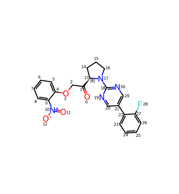 O=C(COc1ccccc1[N+](=O)[O-])[C@H]1CCCN1c1ncc(-c2ccccc2F)cn1